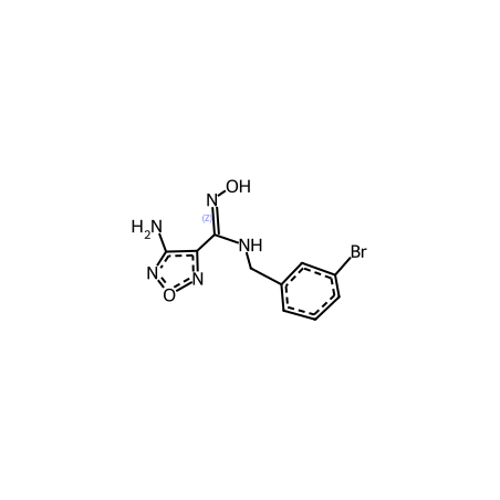 Nc1nonc1/C(=N/O)NCc1cccc(Br)c1